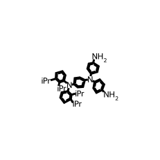 CC(C)c1cccc(N(c2ccc(N(c3ccc(N)cc3)c3ccc(N)cc3)cc2)c2cccc(C(C)C)c2C(C)C)c1C(C)C